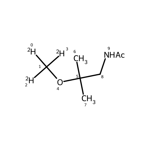 [2H]C([2H])([2H])OC(C)(C)CNC(C)=O